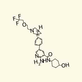 Nc1ncc(-c2ccc([C@@]34C[C@@H]3CN(CCOCC(F)(F)F)C4)cc2)cc1C(=O)NC1CCC(O)CC1